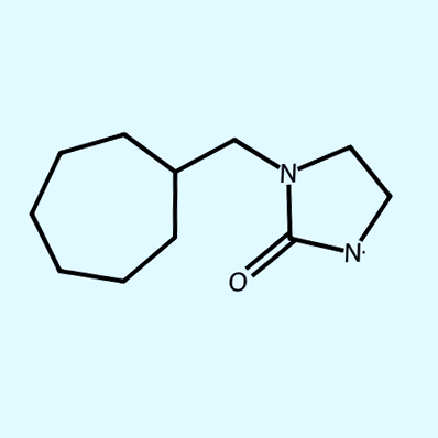 O=C1[N]CCN1CC1CCCCCC1